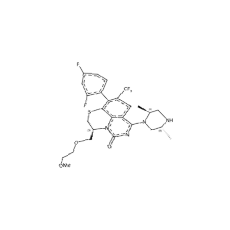 COCCOC[C@H]1CSc2c(-c3ccc(F)cc3F)c(C(F)(F)F)cc3c(N4C[C@@H](C)NC[C@@H]4C)nc(=O)n1c23